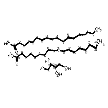 CCCCCCCCCCCCCCCCCC(=O)O.CCCCCCCCCCCCCCCCCC(=O)O.OC[C@@H](O)[C@@H](O)CO